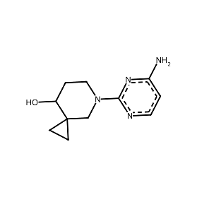 Nc1ccnc(N2CCC(O)C3(CC3)C2)n1